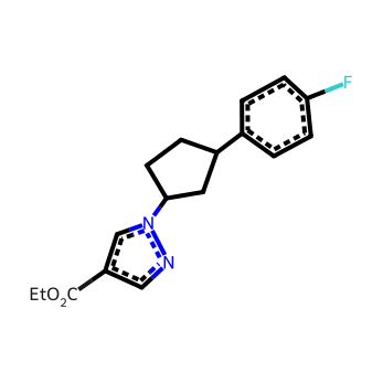 CCOC(=O)c1cnn(C2CCC(c3ccc(F)cc3)C2)c1